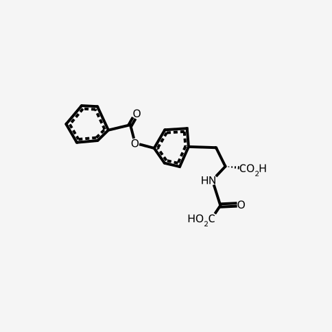 O=C(O)C(=O)N[C@H](Cc1ccc(OC(=O)c2ccccc2)cc1)C(=O)O